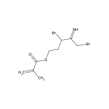 C=C(C)C(=O)OCCC(C(=N)CC(C)C)C(C)C